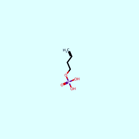 C=CCCOP(=O)(O)O